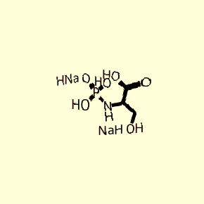 O=C(O)C(CO)NP(=O)(O)O.[NaH].[NaH]